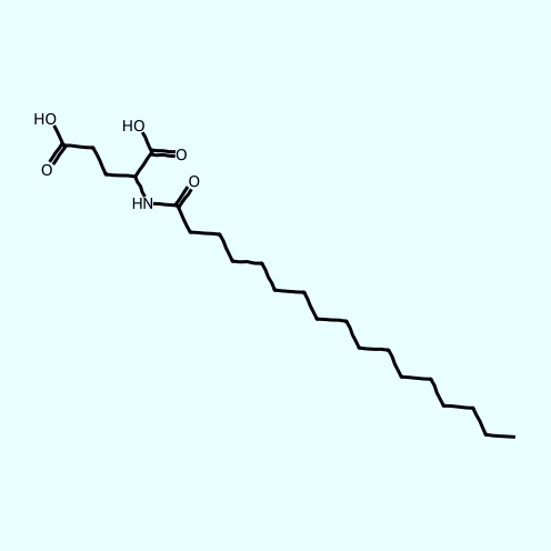 CCCCCCCCCCCCCCCCC(=O)NC(CCC(=O)O)C(=O)O